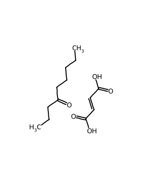 CCCCCC(=O)CCC.O=C(O)C=CC(=O)O